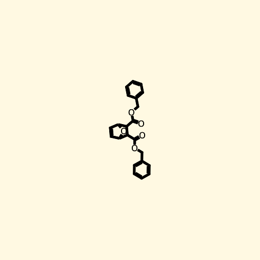 O=C(OCc1ccccc1)C1C2C=CC(O2)C1C(=O)OCc1ccccc1